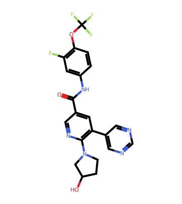 O=C(Nc1ccc(OC(F)(F)F)c(F)c1)c1cnc(N2CCC(O)C2)c(-c2cncnc2)c1